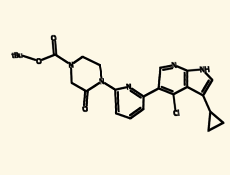 CC(C)(C)OC(=O)N1CCN(c2cccc(-c3cnc4[nH]cc(C5CC5)c4c3Cl)n2)C(=O)C1